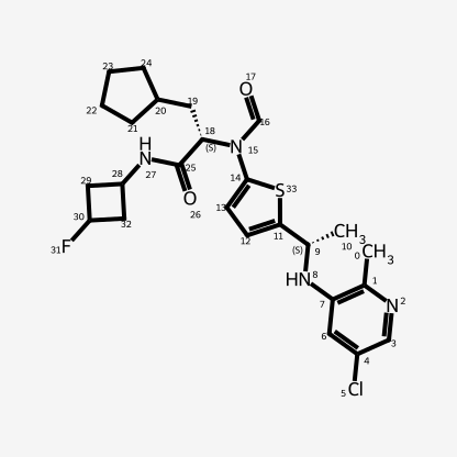 Cc1ncc(Cl)cc1N[C@@H](C)c1ccc(N(C=O)[C@@H](CC2CCCC2)C(=O)NC2CC(F)C2)s1